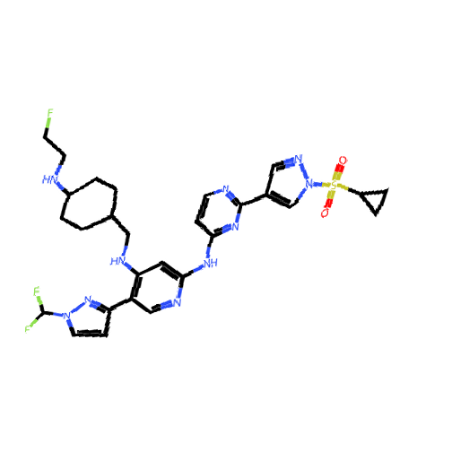 O=S(=O)(C1CC1)n1cc(-c2nccc(Nc3cc(NCC4CCC(NCCF)CC4)c(-c4ccn(C(F)F)n4)cn3)n2)cn1